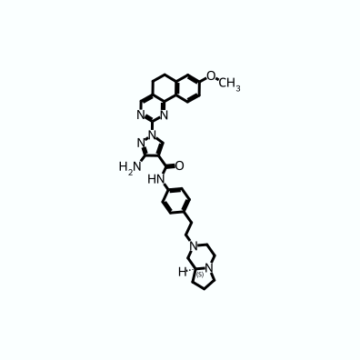 COc1ccc2c(c1)CCc1cnc(-n3cc(C(=O)Nc4ccc(CCN5CCN6CCC[C@H]6C5)cc4)c(N)n3)nc1-2